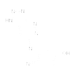 Oc1ccc2ncn(-c3cc4[nH]nnc4nn3)c2c1